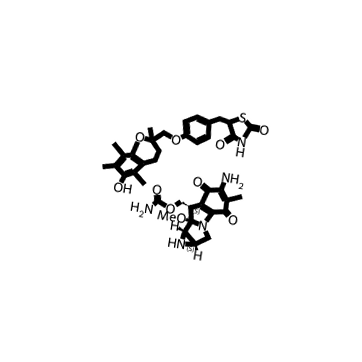 CO[C@@]12[C@H](COC(N)=O)C3=C(C(=O)C(C)=C(N)C3=O)N1C[C@@H]1N[C@@H]12.Cc1c(C)c2c(c(C)c1O)CCC(C)(COc1ccc(CC3SC(=O)NC3=O)cc1)O2